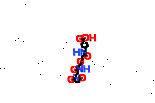 O=C(CCN1C(=O)C=CC1=O)NCCOCCC(=O)NCC1CCC(C(=O)O)CC1